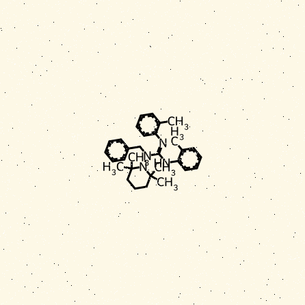 Cc1ccccc1N=C(Nc1ccccc1C)N(Cc1ccccc1)N1C(C)(C)CCCC1(C)C